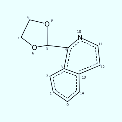 c1ccc2c(C3OCCO3)nccc2c1